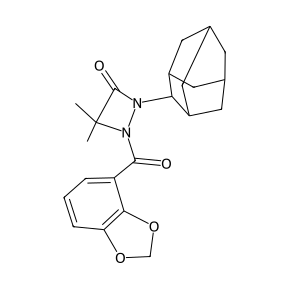 CC1(C)C(=O)N(C2C3CC4CC(C3)CC2C4)N1C(=O)c1cccc2c1OCO2